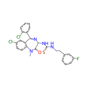 CN1C(=O)C(NC(=S)NCCc2cccc(F)c2)N=C(c2ccccc2Cl)c2cc(Cl)ccc21